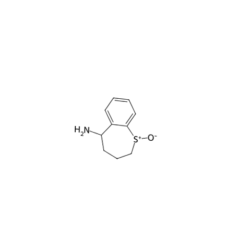 NC1CCC[S+]([O-])c2ccccc21